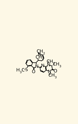 C=N/C=C\CC(C)C1c2cccc(SC)c2C(=O)N1c1ccc2c(n1)N(C)[C@H](C)C(=O)N2C